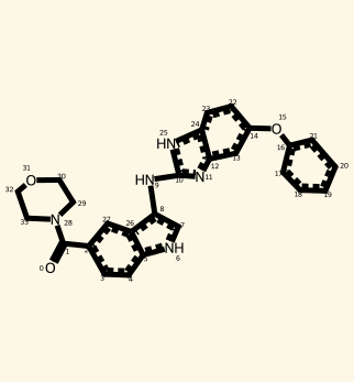 O=C(c1ccc2[nH]cc(Nc3nc4cc(Oc5ccccc5)ccc4[nH]3)c2c1)N1CCOCC1